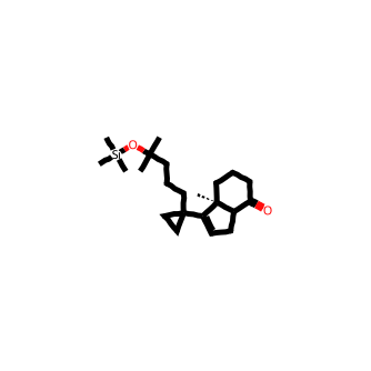 CC(C)(CCCC1(C2=CCC3C(=O)CCC[C@]23C)CC1)O[Si](C)(C)C